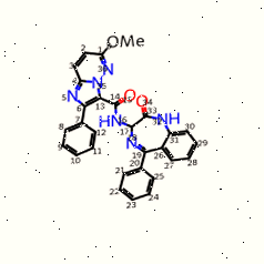 COc1ccc2nc(-c3ccccc3)c(C(=O)NC3N=C(c4ccccc4)c4ccccc4NC3=O)n2n1